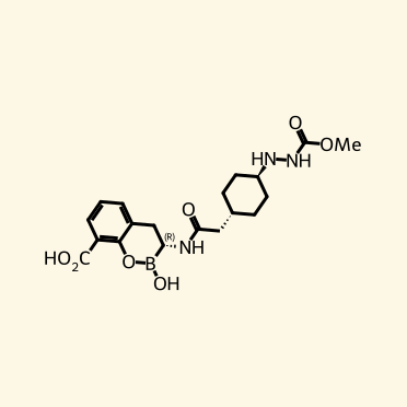 COC(=O)NN[C@H]1CC[C@H](CC(=O)N[C@H]2Cc3cccc(C(=O)O)c3OB2O)CC1